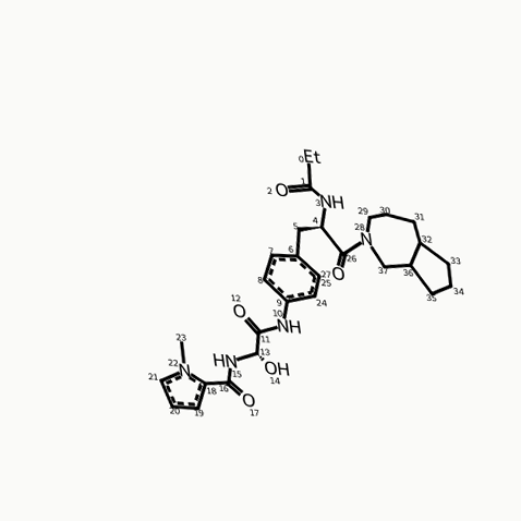 CCC(=O)N[C@H](Cc1ccc(NC(=O)[C@H](O)NC(=O)c2cccn2C)cc1)C(=O)N1CCCC2CCCC2C1